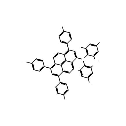 Cc1cc(C)c(B(c2c(C)cc(C)cc2C)c2cc(-c3ccc(C(C)(C)C)cc3)c3ccc4c(-c5ccc(C(C)(C)C)cc5)cc(-c5ccc(C(C)(C)C)cc5)c5ccc2c3c54)c(C)c1